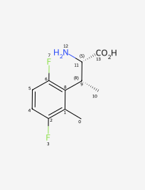 Cc1c(F)ccc(F)c1[C@@H](C)[C@H](N)C(=O)O